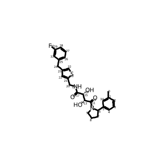 Cc1cccc(C2CCCN2C(=O)[C@H](O)[C@@H](O)C(=O)NCc2cc(Cc3cccc(F)c3)cs2)c1